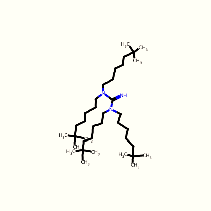 CC(C)(C)CCCCCN(CCCCCC(C)(C)C)C(=N)N(CCCCCC(C)(C)C)CCCCCC(C)(C)C